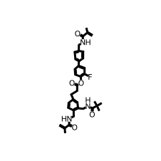 C=C(C)C(=O)NCc1ccc(-c2ccc(OC(=O)CCc3ccc(CNC(=O)C(=C)C)c(CNC(=O)C(C)(C)C)c3)c(F)c2)cc1